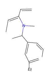 C=C/C(=C/C)N(C)C(C)C(/C=C\C)=C/C(=C)CC